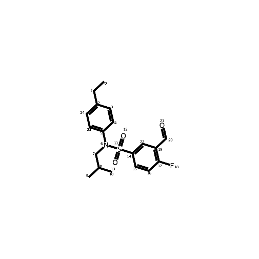 CCc1ccc(N(CC(C)C)S(=O)(=O)c2ccc(F)c(C=O)c2)cc1